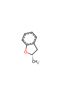 [CH2][C@H]1Cc2ccccc2O1